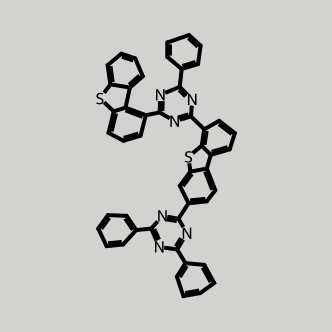 c1ccc(-c2nc(-c3ccccc3)nc(-c3ccc4c(c3)sc3c(-c5nc(-c6ccccc6)nc(-c6cccc7sc8ccccc8c67)n5)cccc34)n2)cc1